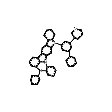 c1ccc(-c2cc(-c3cccnc3)cc(-n3c4ccccc4c4cc5c6cccc7c6n(c5cc43)-c3ccccc3N7c3ccccc3)c2)cc1